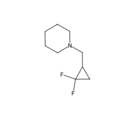 FC1(F)CC1CN1CCCCC1